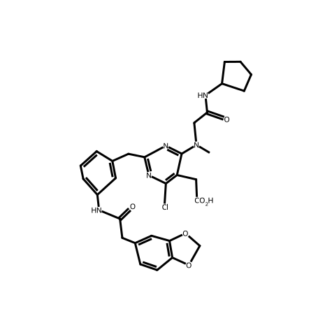 CN(CC(=O)NC1CCCC1)c1nc(Cc2cccc(NC(=O)Cc3ccc4c(c3)OCO4)c2)nc(Cl)c1CC(=O)O